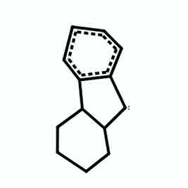 [C]1c2ccccc2C2CCCCC12